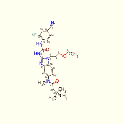 CCOCCCn1c(NC(=O)Nc2ccc(C#N)cc2F)nc2cc(N(C)C(=O)CC(C)(C)C)ccc21